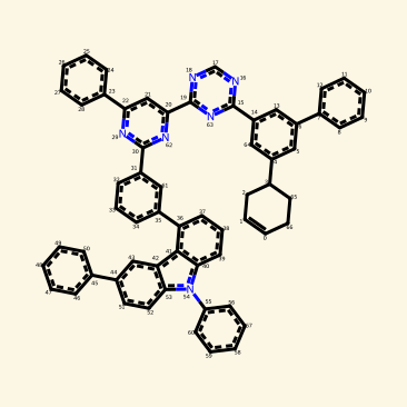 C1=CCC(c2cc(-c3ccccc3)cc(-c3ncnc(-c4cc(-c5ccccc5)nc(-c5cccc(-c6cccc7c6c6cc(-c8ccccc8)ccc6n7-c6ccccc6)c5)n4)n3)c2)CC1